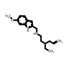 C=CCC(CC)CCNCc1cc2ccc(OC)cc2[nH]1